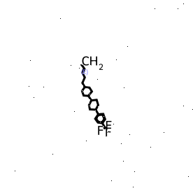 C=C/C=C/CCC1CCC(C2CCC(c3ccc(C(F)(F)F)cc3)CC2)CC1